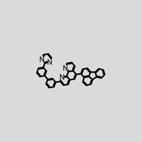 c1cnc(-c2cccc(-c3cccc(-c4ccc5cc(-c6ccc7c8c(cccc68)-c6ccccc6-7)c6cccnc6c5n4)c3)c2)nc1